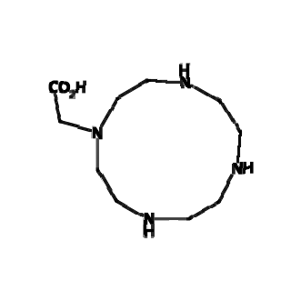 O=C(O)CN1CCNCCNCCNCC1